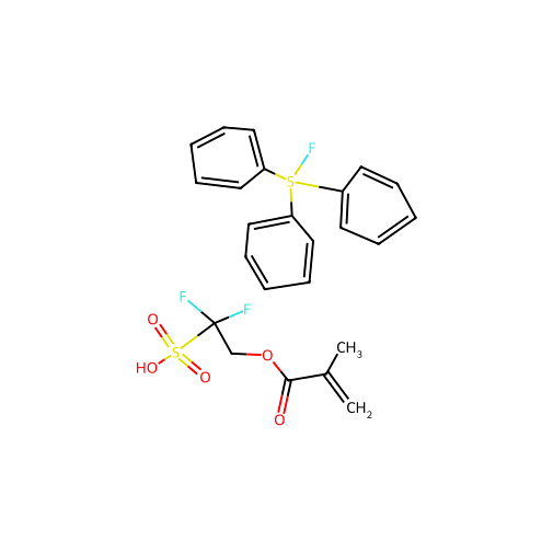 C=C(C)C(=O)OCC(F)(F)S(=O)(=O)O.FS(c1ccccc1)(c1ccccc1)c1ccccc1